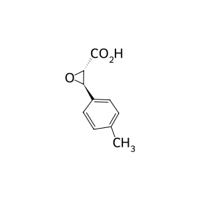 Cc1ccc([C@H]2O[C@@H]2C(=O)O)cc1